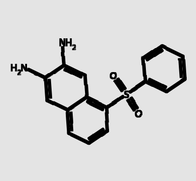 Nc1cc2cccc(S(=O)(=O)c3ccccc3)c2cc1N